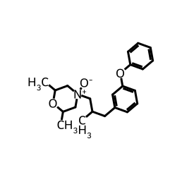 CC(Cc1cccc(Oc2ccccc2)c1)C[N+]1([O-])CC(C)OC(C)C1